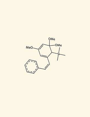 COC1=CC(OC)(OC)C([Si](C)(C)C)C(/C=C\c2ccccc2)=C1